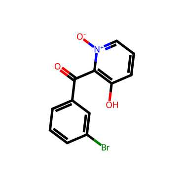 O=C(c1cccc(Br)c1)c1c(O)ccc[n+]1[O-]